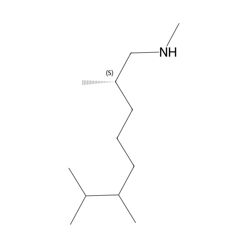 CNC[C@@H](C)CCCC(C)C(C)C